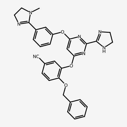 CN1CCN=C1c1cccc(Oc2cc(Oc3cc(C#N)ccc3OCc3ccccc3)nc(C3=NCCN3)n2)c1